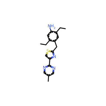 CCc1cc(Cc2nc(-c3ncc(C)cn3)cs2)c(CC)cc1N